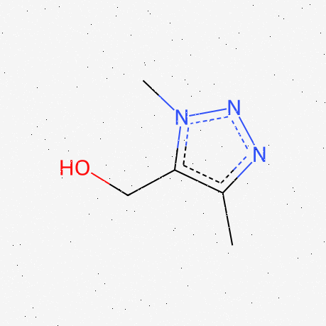 Cc1nnn(C)c1CO